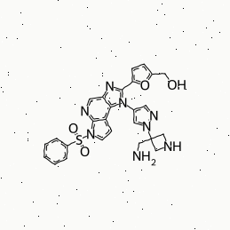 NCC1(n2cc(-n3c(-c4ccc(CO)o4)nc4cnc5c(ccn5S(=O)(=O)c5ccccc5)c43)cn2)CNC1